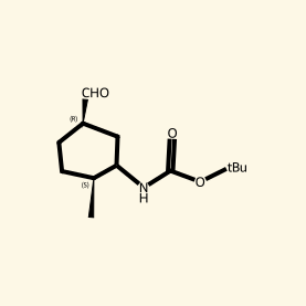 C[C@H]1CC[C@@H](C=O)CC1NC(=O)OC(C)(C)C